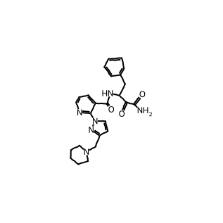 NC(=O)C(=O)C(Cc1ccccc1)NC(=O)c1cccnc1-n1ccc(CN2CCCCC2)n1